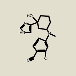 CN(c1ccc(C#N)c(Cl)c1)C1CCCC(O)(c2c[nH]cn2)C1